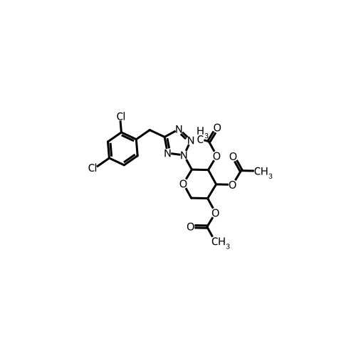 CC(=O)OC1COC(n2nnc(Cc3ccc(Cl)cc3Cl)n2)C(OC(C)=O)C1OC(C)=O